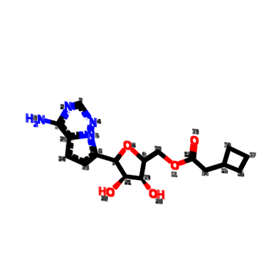 Nc1ncnn2c(C3OC(COC(=O)CC4CCC4)[C@@H](O)[C@H]3O)ccc12